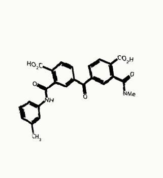 CNC(=O)c1cc(C(=O)c2ccc(C(=O)O)c(C(=O)Nc3cccc(C)c3)c2)ccc1C(=O)O